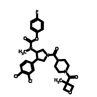 CN(C(=O)Oc1ccc(F)cc1)C1CN(C(=O)C2CCN(C(=O)C3(C)COC3)CC2)CC1c1ccc(Cl)c(Cl)c1